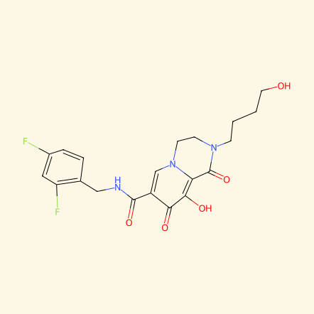 O=C(NCc1ccc(F)cc1F)c1cn2c(c(O)c1=O)C(=O)N(CCCCO)CC2